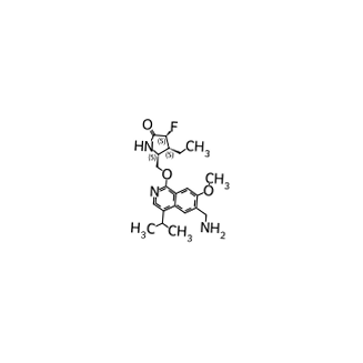 CC[C@@H]1[C@H](F)C(=O)N[C@@H]1COc1ncc(C(C)C)c2cc(CN)c(OC)cc12